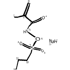 C=C(C)C(=O)NOS(=O)(=O)CCC.[NaH]